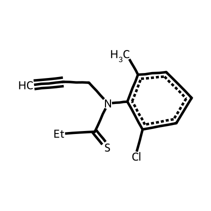 C#CCN(C(=S)CC)c1c(C)cccc1Cl